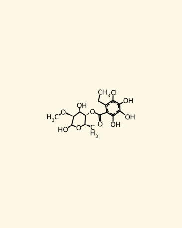 CCc1c(Cl)c(O)c(O)c(O)c1C(=O)O[C@H]1[C@H](O)[C@H](OC)[C@H](O)O[C@@H]1C